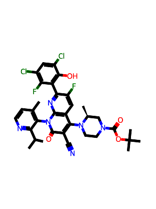 Cc1ccnc(C(C)C)c1-n1c(=O)c(C#N)c(N2CCN(C(=O)OC(C)(C)C)C[C@@H]2C)c2cc(F)c(-c3c(O)c(Cl)cc(Cl)c3F)nc21